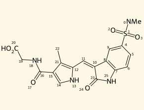 CNS(=O)(=O)c1ccc2c(c1)C(=Cc1[nH]cc(C(=O)NCC(=O)O)c1C)C(=O)N2